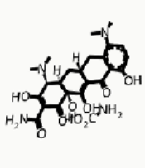 CN(C)c1ccc(O)c2c1C[C@H]1C[C@@H]3[C@H](N(C)C)C(O)=C(C(N)=O)C(=O)[C@@]3(O)C(O)=C1C2=O.NC(=O)O